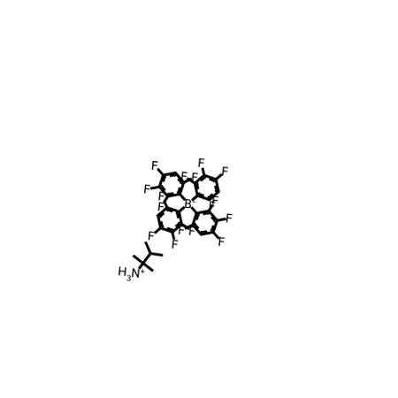 CC(C)C(C)(C)[NH3+].Fc1cc(F)c([B-](c2c(F)cc(F)c(F)c2F)(c2c(F)cc(F)c(F)c2F)c2c(F)cc(F)c(F)c2F)c(F)c1F